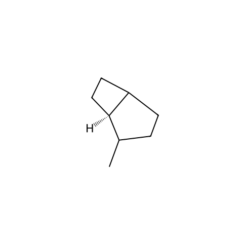 CC1CCC2CC[C@H]12